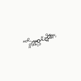 Nc1nc(=O)c2nc(CNc3ccc(C(=O)N[C@@H](CCC(=O)O)C(=O)O)cc3)cnc2[nH]1.O